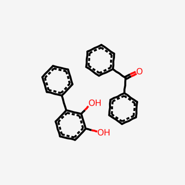 O=C(c1ccccc1)c1ccccc1.Oc1cccc(-c2ccccc2)c1O